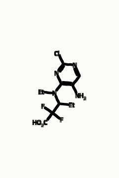 CCC(N(CC)c1nc(Cl)ncc1N)C(F)(F)C(=O)O